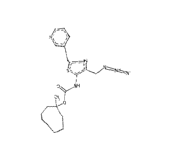 CC1(OC(=O)Nc2sc(-c3cccnc3)nc2CN=[N+]=[N-])CCCCC1